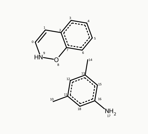 C1=Cc2ccccc2ON1.Cc1cc(C)cc(N)c1